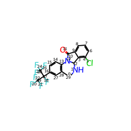 CNC1c2c(Cl)cccc2C(=O)N1c1ccc(C(F)(C(F)(F)F)C(F)(F)F)cc1C